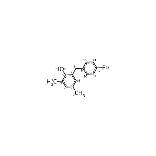 Cc1cc(C)c(O)c(Cc2ccc(F)cc2)c1